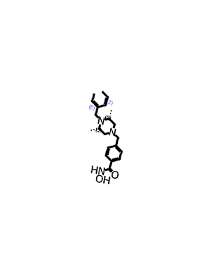 C/C=C\C(=C/C)CN1[C@H](C)CN(Cc2ccc(C(=O)NO)cc2)C[C@@H]1C